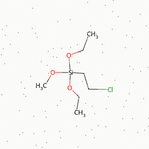 CCO[Si](CCCl)(OC)OCC